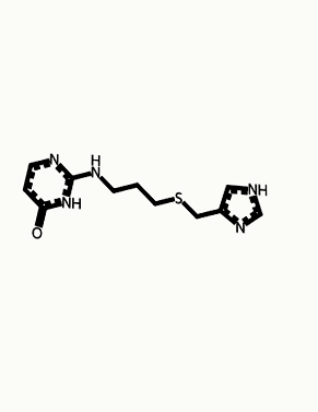 O=c1ccnc(NCCCSCc2c[nH]cn2)[nH]1